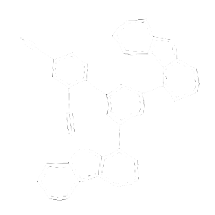 N#Cc1ccc(-c2cc(-c3cccc4c3sc3ccccc34)cc(-c3cccc4sc5ccccc5c34)c2)c(C#N)c1